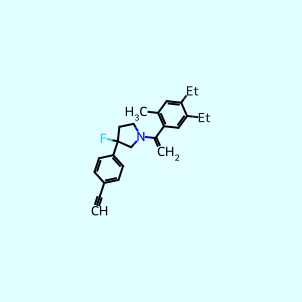 C#Cc1ccc(C2(F)CCN(C(=C)c3cc(CC)c(CC)cc3C)C2)cc1